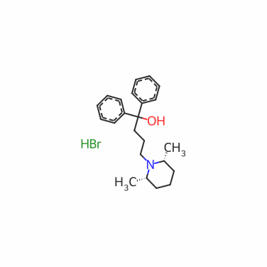 Br.C[C@@H]1CCC[C@H](C)N1CCCC(O)(c1ccccc1)c1ccccc1